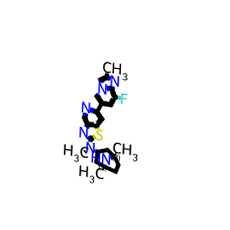 Cc1cn2cc(-c3cc4sc(N(C)C5C[C@]6(C)CC[C@](C)(C5)N6)nc4cn3)cc(F)c2n1